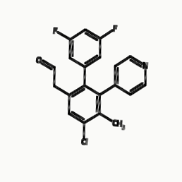 Cc1c(Cl)cc(CC=O)c(-c2cc(F)cc(F)c2)c1-c1ccncc1